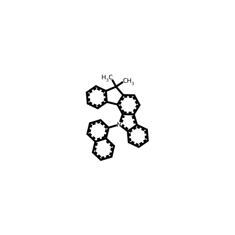 CC1(C)c2ccccc2-c2c1ccc1c3ccccc3n(-c3cccc4ccccc34)c21